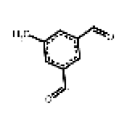 Cc1cc([C]=O)cc([C]=O)c1